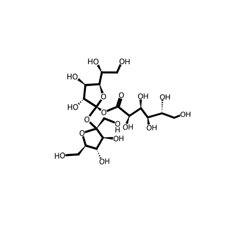 O=C(O[C@]1(O[C@@]2(CO)O[C@H](CO)[C@@H](O)[C@@H]2O)O[C@H]([C@@H](O)CO)[C@H](O)[C@H]1O)[C@H](O)[C@@H](O)[C@H](O)[C@H](O)CO